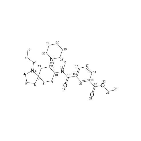 CCCN1CCCC12CCC(N(C)C(=O)c1cccc(C(=O)OCC)c1)C(N1CCCCC1)C2